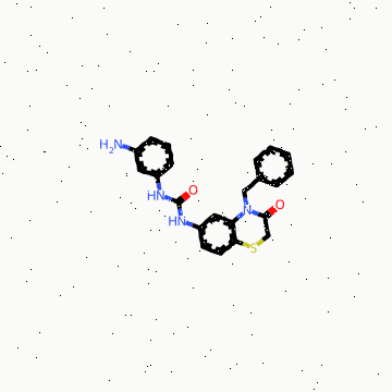 Nc1cccc(NC(=O)Nc2ccc3c(c2)N(Cc2ccccc2)C(=O)CS3)c1